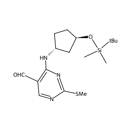 CSc1ncc(C=O)c(N[C@@H]2CC[C@@H](O[Si](C)(C)C(C)(C)C)C2)n1